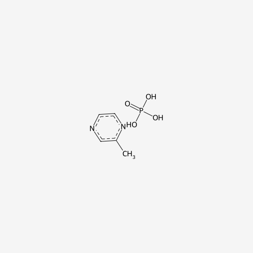 Cc1cnccn1.O=P(O)(O)O